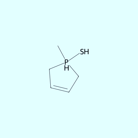 C[PH]1(S)CC=CC1